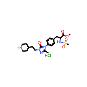 COC(=O)C(Cc1ccc(-n2c(C)nn(CCC3CCNCC3)c2=O)cc1)NS(C)(=O)=O.Cl